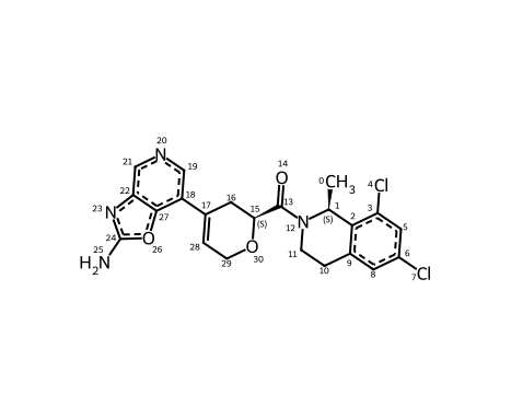 C[C@H]1c2c(Cl)cc(Cl)cc2CCN1C(=O)[C@@H]1CC(c2cncc3nc(N)oc23)=CCO1